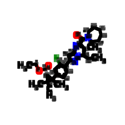 CCOC(=O)[C@H]1C(C)(C)C1(C)c1ccc(-c2cc3nc(C(=O)N4CCCCC[C@H]4C)cc(CC)n3n2)c(F)c1